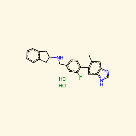 Cc1cc2nc[nH]c2cc1-c1ccc(CNC2Cc3ccccc3C2)cc1F.Cl.Cl